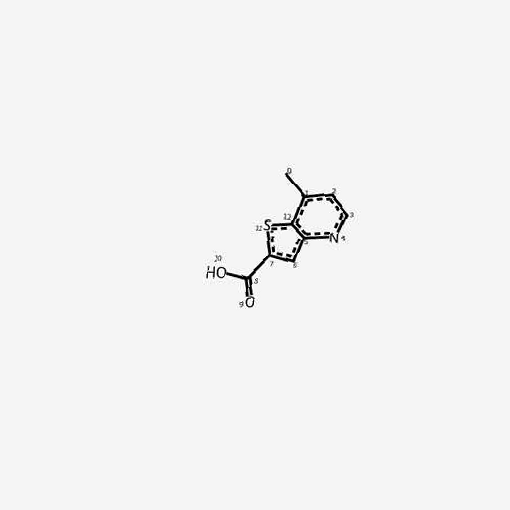 Cc1ccnc2cc(C(=O)O)sc12